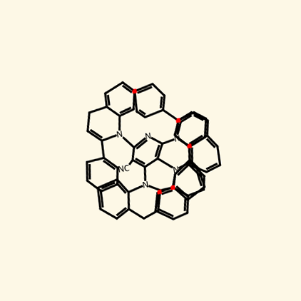 N#Cc1c(N2C(c3ccccc3)=CCc3ccccc32)nc(N2C(c3ccccc3)=CCc3ccccc32)c(N2C(c3ccccc3)=CCc3ccccc32)c1N1C(c2ccccc2)=CCc2ccccc21